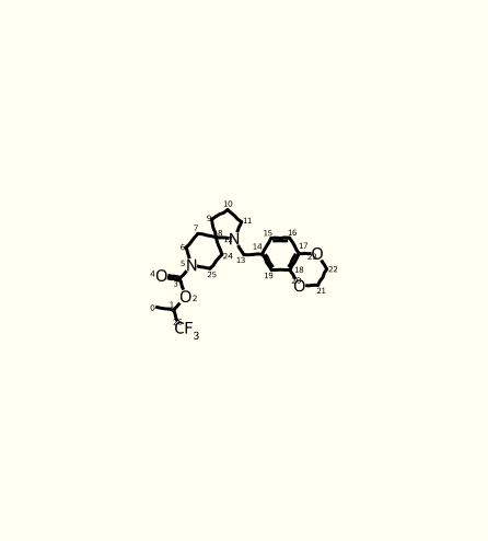 CC(OC(=O)N1CCC2(CCCN2Cc2ccc3c(c2)OCCO3)CC1)C(F)(F)F